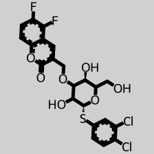 O=c1oc2ccc(F)c(F)c2cc1COC1C(O)[C@@H](Sc2ccc(Cl)c(Cl)c2)OC(CO)[C@@H]1O